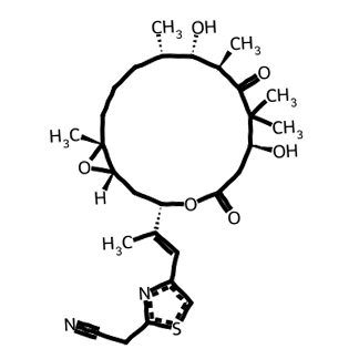 CC(=Cc1csc(CC#N)n1)[C@@H]1C[C@@H]2O[C@]2(C)CCC[C@H](C)[C@H](O)[C@@H](C)C(=O)C(C)(C)[C@@H](O)CC(=O)O1